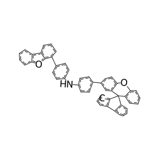 c1ccc2c(c1)Oc1ccc(-c3ccc(Nc4ccc(-c5cccc6c5oc5ccccc56)cc4)cc3)cc1C21c2ccccc2-c2ccccc21